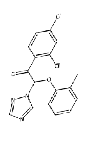 Cc1ccccc1OC(C(=O)c1ccc(Cl)cc1Cl)n1cncn1